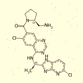 C[C@@H](Nc1ncnc2cc(C(=O)N3CCC[C@H]3CN)c(Cl)cc12)c1nc2nc(Cl)ccc2[nH]1